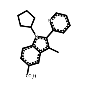 Cc1c(-c2ccccn2)n(C2CCCC2)c2ccc(C(=O)O)cc12